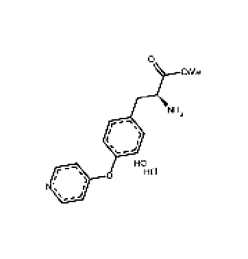 COC(=O)[C@@H](N)Cc1ccc(Oc2ccncc2)cc1.Cl.Cl